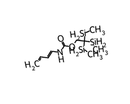 C=CC=CNC(=O)OCC([SiH2]C)([SiH2]C)[SiH2]C